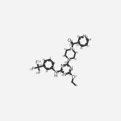 CCOc1nc(Nc2cccc(C(F)(F)F)c2)nc(N2CCN(C(=O)c3cccnc3)CC2)n1